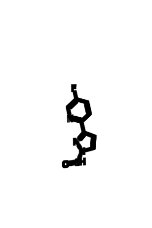 O=[SH]n1ccc(-c2ccc(F)cn2)n1